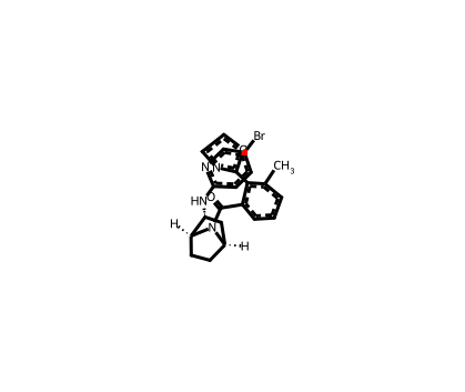 Cc1cccc(C(=O)N2[C@@H]3CC[C@H]2[C@H](Nc2ccc(Br)cn2)C3)c1-c1ncco1